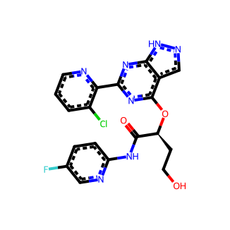 O=C(Nc1ccc(F)cn1)[C@H](CCO)Oc1nc(-c2ncccc2Cl)nc2[nH]ncc12